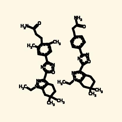 CCn1nc(-c2nc(-c3cc(C)c(CCC(N)=O)c(C)c3)no2)c2c1CC(C)(C)CC2.CCn1nc(-c2nc(-c3ccc(CC(N)=O)cc3)no2)c2c1CC(C)(C)CC2